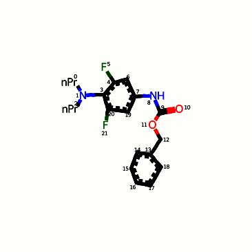 CCCN(CCC)c1c(F)cc(NC(=O)OCc2ccccc2)cc1F